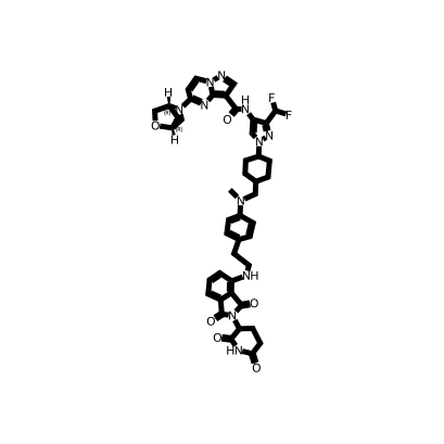 CN(CC1CCC(n2cc(NC(=O)c3cnn4ccc(N5C[C@H]6C[C@@H]5CO6)nc34)c(C(F)F)n2)CC1)c1ccc(CCNc2cccc3c2C(=O)N(C2CCC(=O)NC2=O)C3=O)cc1